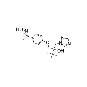 C/C(=N\O)c1ccc(OCC(O)(Cn2cncn2)C(C)(C)C)cc1